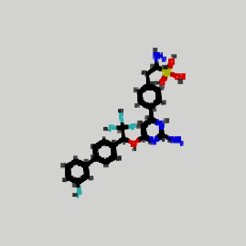 Nc1nc(OC(c2ccc(-c3cccc(F)c3)cc2)C(F)(F)F)cc(-c2ccc(CC(N)S(=O)(=O)O)cc2)n1